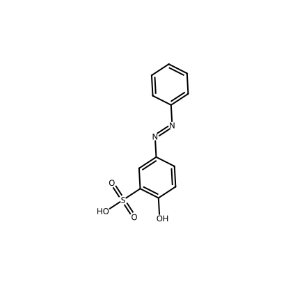 O=S(=O)(O)c1cc(/N=N/c2ccccc2)ccc1O